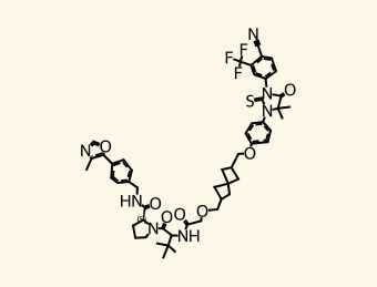 Cc1ncoc1-c1ccc(CNC(=O)[C@@H]2CCCN2C(=O)C(NC(=O)COCC2CC3(C2)CC(COc2ccc(N4C(=S)N(c5ccc(C#N)c(C(F)(F)F)c5)C(=O)C4(C)C)cc2)C3)C(C)(C)C)cc1